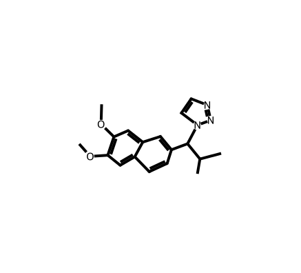 COc1cc2ccc(C(C(C)C)n3ccnn3)cc2cc1OC